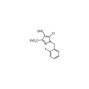 CCOC(=O)c1nn(Cc2ccccc2F)c(Cl)c1C=O